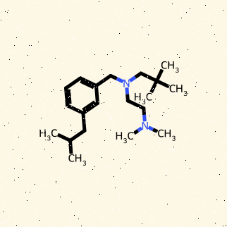 CC(C)Cc1cccc(CN(CCN(C)C)CC(C)(C)C)c1